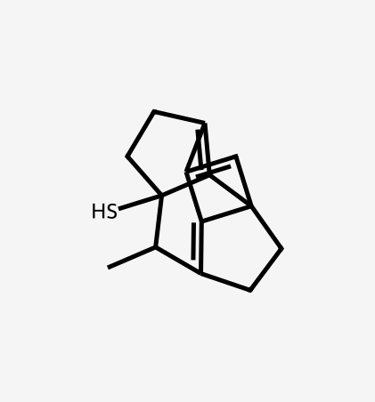 CC1C2=C3C4=CC3(CC2)C2=C4CCC21S